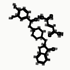 O=C(CN1CCC(CN2Cc3ccccc3C2=O)CC1)c1ccc(F)c(F)c1.O=C(O)C=CC(=O)O